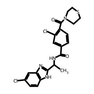 CC(NC(=O)c1ccc(C(=O)N2CCSCC2)c(Cl)c1)c1nc2cc(Cl)ccc2[nH]1